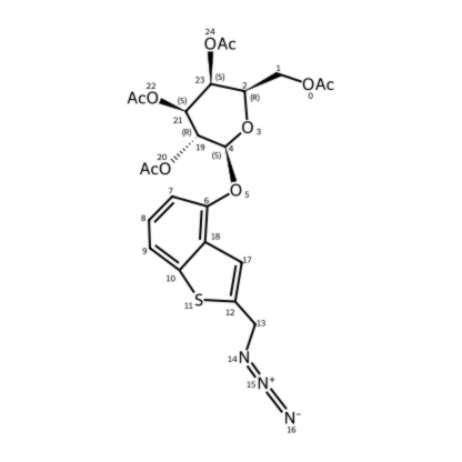 CC(=O)OC[C@H]1O[C@@H](Oc2cccc3sc(CN=[N+]=[N-])cc23)[C@H](OC(C)=O)[C@@H](OC(C)=O)[C@H]1OC(C)=O